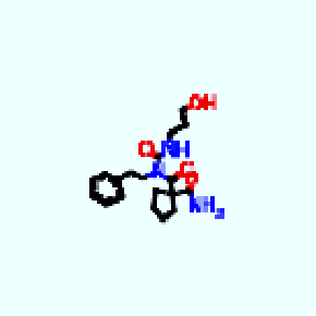 NC(=O)C1(C(=O)N(CCc2ccccc2)C(=O)NCCCO)CCCC1